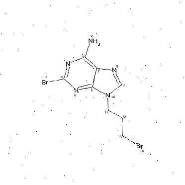 Nc1nc(Br)nc2c1ncn2CCCBr